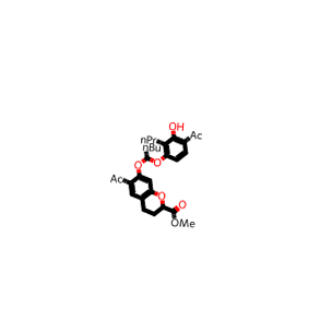 CCCCC(Oc1cc2c(cc1C(C)=O)CCC(C(=O)OC)O2)Oc1ccc(C(C)=O)c(O)c1CCC